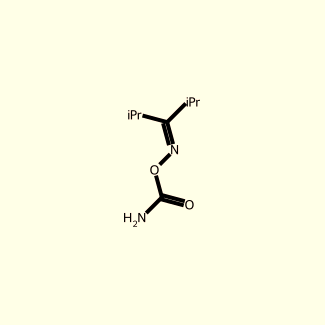 CC(C)C(=NOC(N)=O)C(C)C